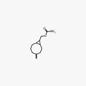 C=C1CCCC2C(CC1)C2COC(N)=O